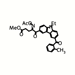 CCn1c2ccc(C(=O)C(CCC(=O)OC)=NOC(C)=O)cc2c2cc(C(=O)c3ccccc3C)ccc21